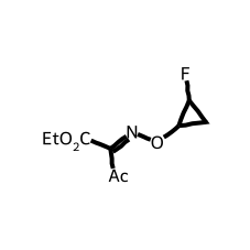 CCOC(=O)C(=NOC1CC1F)C(C)=O